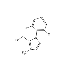 FC(F)(F)c1cnn(-c2c(Cl)cccc2Cl)c1CBr